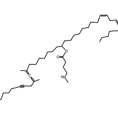 CCCCCC#CCC(C)=C=C(C)CCCCCCCC(CCCCCCCC/C=C\C/C=C\C(C)CCCC)OC(=O)CCCNC